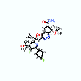 [2H]C([2H])([2H])Oc1cc(C(N)=O)cc2cc(CC(O)(c3cc(C(C)(C)O)c(F)c(-c4ccc(F)cc4)n3)C3CC3)nnc12